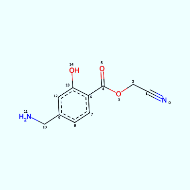 N#CCOC(=O)c1ccc(CN)cc1O